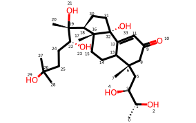 C[C@@H](O)[C@@H](O)C[C@@]1(C)CC(=O)C=C2C1CC[C@]1(C)[C@@H]([C@@](C)(O)[C@H](O)CCC(C)(C)O)CC[C@@]21O